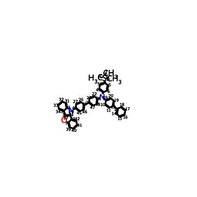 C[Si](C)(C)c1ccc(N(c2ccc(-c3ccccc3)cc2)c2ccc(-c3ccc(-n4c5ccccc5c5oc6ccccc6c54)cc3)cc2)cc1